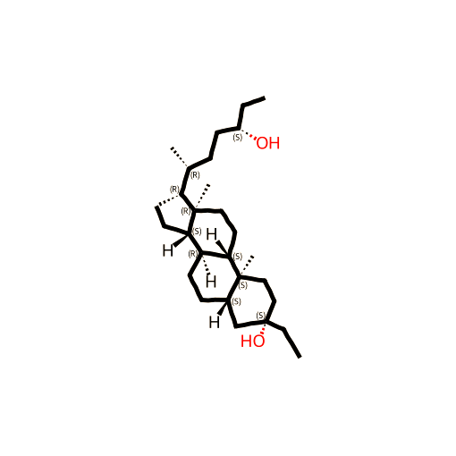 CC[C@H](O)CC[C@@H](C)[C@H]1CC[C@H]2[C@@H]3CC[C@H]4C[C@](O)(CC)CC[C@]4(C)[C@H]3CC[C@]12C